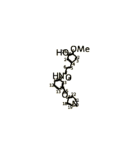 COc1ccc(C=CC(=O)Nc2cccc(COc3ccncc3)c2)cc1O